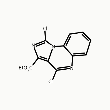 CCOC(=O)c1nc(Cl)n2c1c(Cl)nc1ccccc12